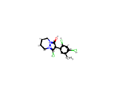 Cc1cc(-c2c(Cl)n3n(c2=O)CCCC3)c(Cl)cc1Cl